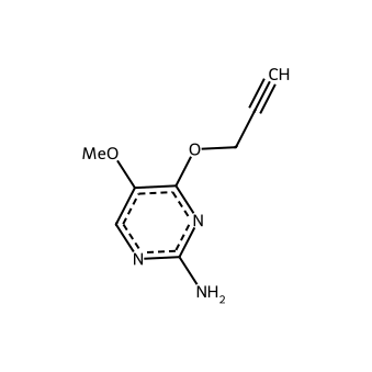 C#CCOc1nc(N)ncc1OC